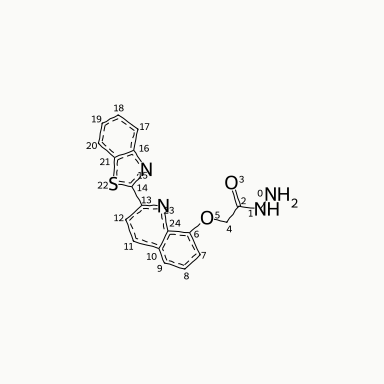 NNC(=O)COc1cccc2ccc(-c3nc4ccccc4s3)nc12